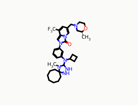 C[C@@H]1CN(Cc2cc(C(F)(F)F)c3cn(-c4cccc(N(C5CCC5)C5NNC6(CCCCCCC6)N5C)c4)c(=O)n3c2)CCO1